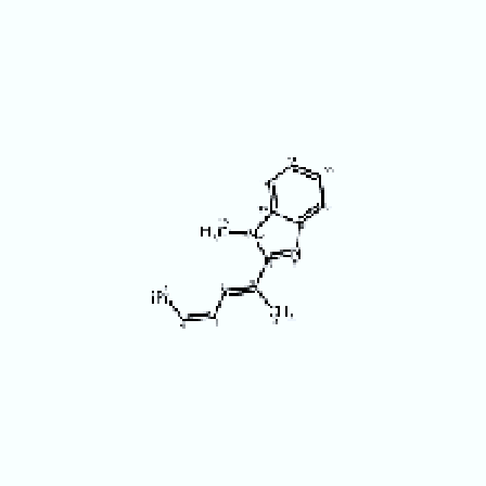 C/C(=C\C=C/C(C)C)c1nc2ccccc2n1C